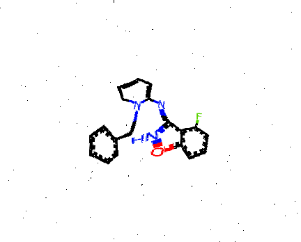 Fc1cccc2o[nH]c(=NC3=CC=CCN3Cc3ccccc3)c12